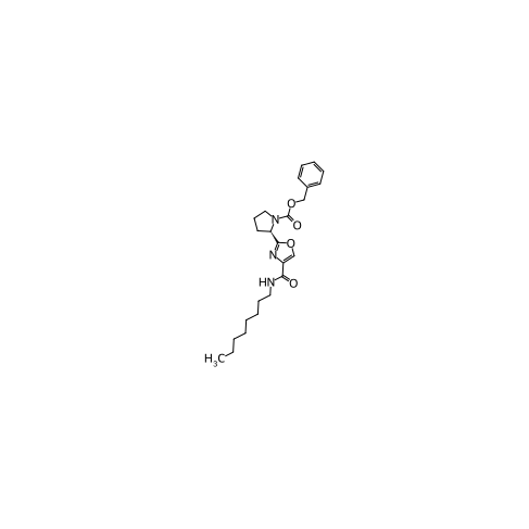 CCCCCCCCNC(=O)c1coc([C@H]2CCCN2C(=O)OCc2ccccc2)n1